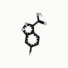 NC(=O)c1nsc2cc(F)ccc12